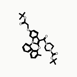 Cc1cccc(C)c1Oc1c(C(=O)N2CCN(C(=O)OC(C)(C)C)CC2)c2ccc(OCC(=O)OC(C)(C)C)cc2n1-c1ccccc1